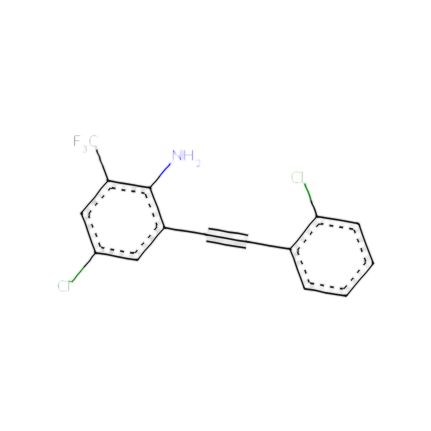 Nc1c(C#Cc2ccccc2Cl)cc(Cl)cc1C(F)(F)F